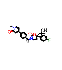 C[C@@H](c1ccc(-c2ccn(C)c(=O)c2)cc1)N1CC[C@@](CC(C)(C)C#N)(c2ccc(F)cc2)OC1=O